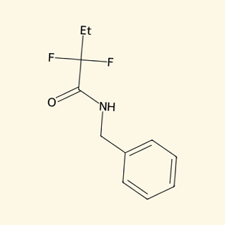 CCC(F)(F)C(=O)NCc1ccccc1